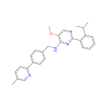 COc1cnc(-c2ccccc2C(C)C)nc1NCc1ccc(-c2ccc(C)cn2)cc1